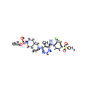 Cc1c(Nc2ccc(S(C)(=O)=O)cc2F)ncnc1N(CC1CCN(C(=O)OC(C)(C)C)CC1)C(C)C